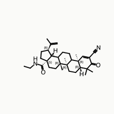 C=C(C)[C@@H]1CC[C@]2(C(=O)NCC)CC[C@]3(C)C(CCC4[C@@]5(C)C=C(C#N)C(=O)C(C)(C)[C@@H]5CC[C@]43C)[C@@H]12